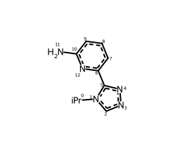 CC(C)n1cnnc1-c1cccc(N)n1